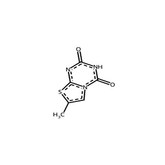 Cc1cn2c(=O)[nH]c(=O)nc2s1